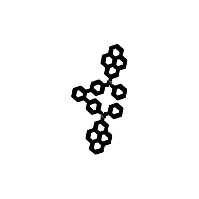 c1ccc(N(c2ccc(-c3ccccc3-c3ccc(N(c4ccccc4)c4cc5ccc6cccc7ccc(c4)c5c67)cc3)cc2)c2cc3ccc4cccc5ccc(c2)c3c45)cc1